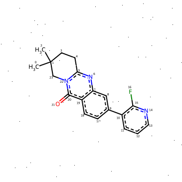 CC1(C)CCc2nc3cc(-c4cccnc4F)ccc3c(=O)n2C1